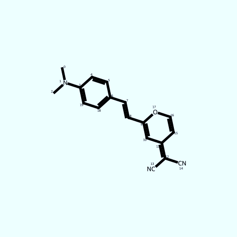 CN(C)c1ccc(/C=C/C2=CC(=C(C#N)C#N)C=CO2)cc1